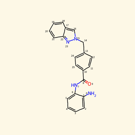 Nc1ccccc1NC(=O)c1ccc(Cn2cc3ccccc3n2)cc1